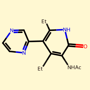 CCc1[nH]c(=O)c(NC(C)=O)c(CC)c1-c1cnccn1